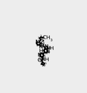 Cc1ccc(-c2nccc3[nH]c(-c4n[nH]c5ncc(-c6cncc(NC(=O)C7CCC7)c6)cc45)nc23)s1